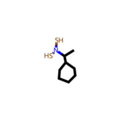 CC(C1CCCCC1)N(S)S